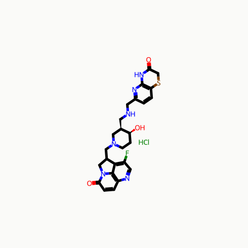 Cl.O=C1CSc2ccc(CNC[C@@H]3CN(CC4Cn5c(=O)ccc6ncc(F)c4c65)CC[C@@H]3O)nc2N1